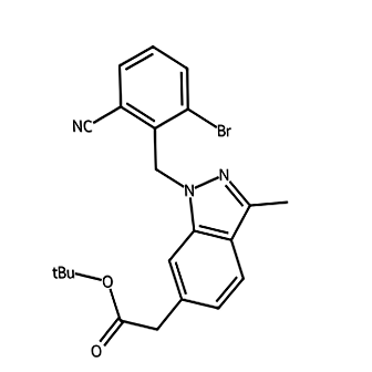 Cc1nn(Cc2c(Br)cccc2C#N)c2cc(CC(=O)OC(C)(C)C)ccc12